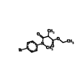 CCOC(=O)C(C)C(=O)N(C)c1ccc(Br)cc1